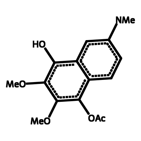 CNc1ccc2c(OC(C)=O)c(OC)c(OC)c(O)c2c1